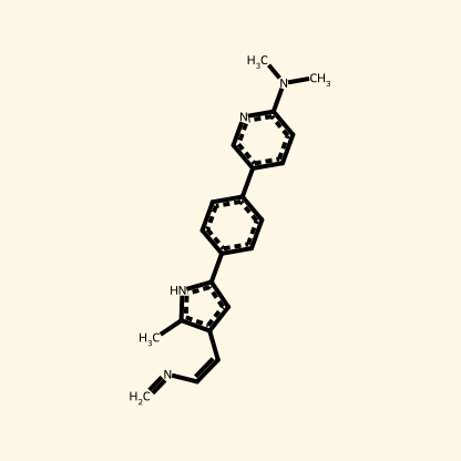 C=N/C=C\c1cc(-c2ccc(-c3ccc(N(C)C)nc3)cc2)[nH]c1C